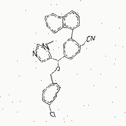 Cn1cncc1C(OCc1ccc(Cl)cc1)c1ccc(C#N)c(-c2cccc3ccccc23)c1